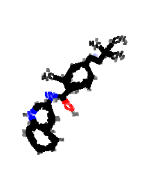 Cc1cc(/C=C/C(C)(C)C)ccc1C(=O)Nc1cnc2ccccc2c1